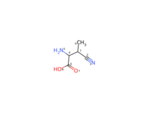 CC(C#N)C(N)C(=O)O